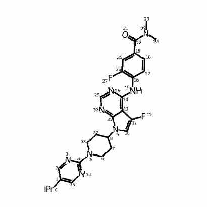 CC(C)c1cnc(N2CCC(n3cc(F)c4c(Nc5ccc(C(=O)N(C)C)cc5F)ncnc43)CC2)nc1